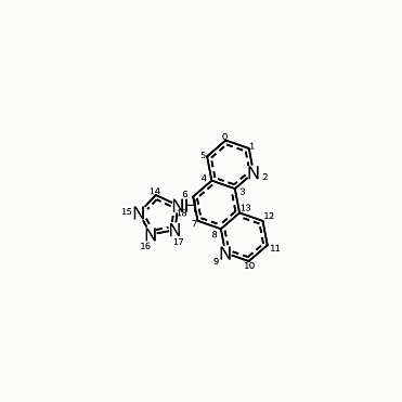 c1cnc2c(c1)ccc1ncccc12.c1nnn[nH]1